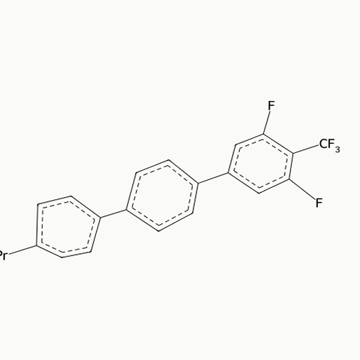 CCCc1ccc(-c2ccc(-c3cc(F)c(C(F)(F)F)c(F)c3)cc2)cc1